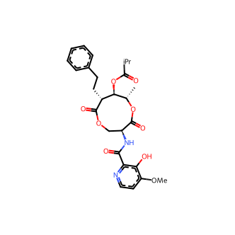 COc1ccnc(C(=O)N[C@H]2COC(=O)[C@H](CCc3ccccc3)[C@@H](OC(=O)C(C)C)[C@H](C)OC2=O)c1O